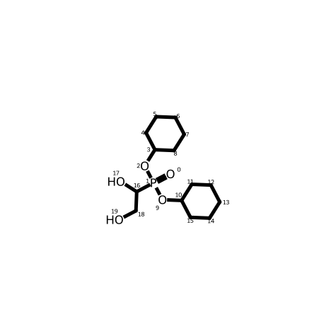 O=P(OC1CCCCC1)(OC1CCCCC1)C(O)CO